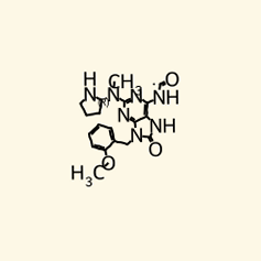 COc1ccccc1Cn1c(=O)[nH]c2c(N[C]=O)nc(N(C)[C@@H]3CCCN3)nc21